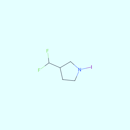 FC(F)C1CCN(I)C1